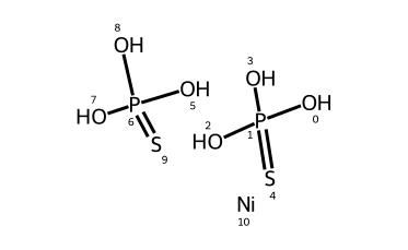 OP(O)(O)=S.OP(O)(O)=S.[Ni]